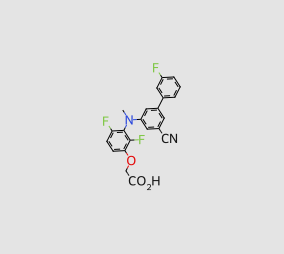 CN(c1cc(C#N)cc(-c2cccc(F)c2)c1)c1c(F)ccc(OCC(=O)O)c1F